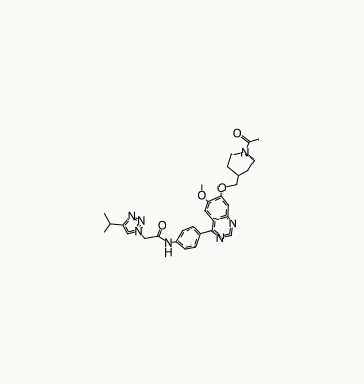 COc1cc2c(-c3ccc(NC(=O)Cn4cc(C(C)C)nn4)cc3)ncnc2cc1OCC1CCN(C(C)=O)CC1